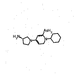 N[C@@H]1CCN(C2=CCN(C3CCCCC3)C([AsH2])=C2)C1